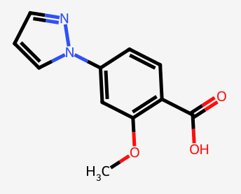 COc1cc(-n2cccn2)ccc1C(=O)O